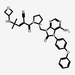 CC(C)(C=C(C#N)C(=O)N1CCC[C@H]1Cn1c(=O)n(-c2ccc(Oc3ccccc3)cc2)c2c(N)ncnc21)NC1COC1